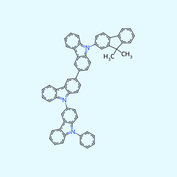 CC1(C)c2ccccc2-c2ccc(-n3c4ccccc4c4cc(-c5ccc6c(c5)c5ccccc5n6-c5ccc6c(c5)c5ccccc5n6-c5ccccc5)ccc43)cc21